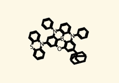 c1ccc(N2c3cc(N4c5ccccc5Sc5ccccc54)cc4c3B3c5c(cc(C67CC8CC(CC(C8)C6)C7)cc5N(c5ccccc5)c5cccc2c53)O4)cc1